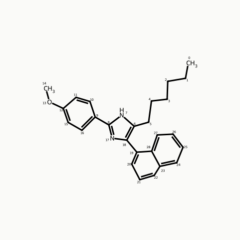 CCCCCCc1[nH]c(-c2ccc(OC)cc2)nc1-c1cccc2ccccc12